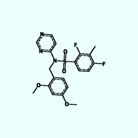 COc1ccc(CN(c2ccncn2)S(=O)(=O)c2ccc(F)c(C)c2F)c(OC)c1